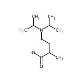 CC(CCN(C(C)C)C(C)C)C([O])=O